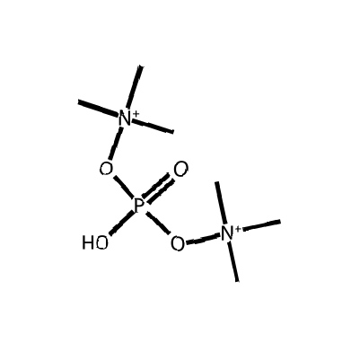 C[N+](C)(C)OP(=O)(O)O[N+](C)(C)C